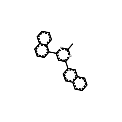 Cc1nc(-c2ccc3ccccc3c2)cc(-c2cccc3ccccc23)n1